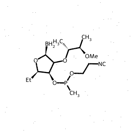 B[C@@H]1O[C@H](CC)[C@H](OP(C)OCC[N+]#[C-])C1O[C@H](C)[C@@H](C)OC